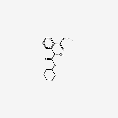 COC(=O)c1ccccc1[C@H](O)C(=O)SC1CCCCC1